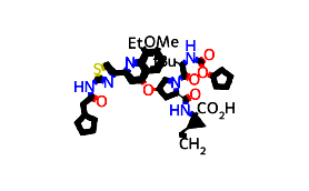 C=C[C@@H]1C[C@]1(NC(=O)[C@@H]1C[C@@H](Oc2cc(-c3csc(NC(=O)CC4CCCC4)n3)nc3c(CC)c(OC)ccc23)CN1C(=O)[C@@H](NC(=O)OC1CCCC1)C(C)(C)C)C(=O)O